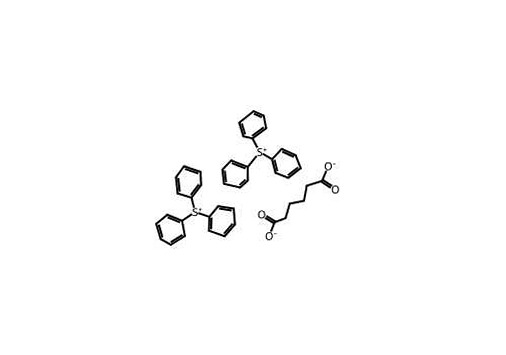 O=C([O-])CCCCC(=O)[O-].c1ccc([S+](c2ccccc2)c2ccccc2)cc1.c1ccc([S+](c2ccccc2)c2ccccc2)cc1